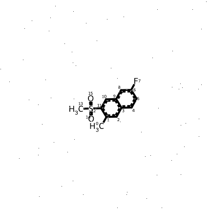 Cc1cc2ccc(F)cc2cc1S(C)(=O)=O